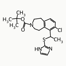 CC(Sc1ncc[nH]1)c1c(Cl)ccc2c1CCN(C(=O)OC(C)(C)C)CC2